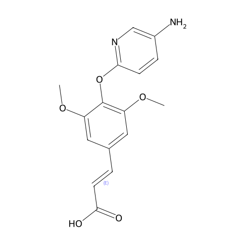 COc1cc(/C=C/C(=O)O)cc(OC)c1Oc1ccc(N)cn1